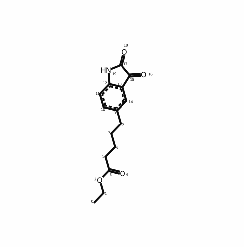 CCOC(=O)CCCCc1ccc2c(c1)C(=O)C(=O)N2